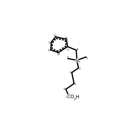 C[Si](C)(CCCCC(=O)O)Cc1ccccc1